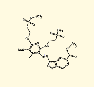 Cc1c(C#N)c(NCCS(=O)(=O)ON)nc(NCCS(=O)(=O)O)c1/N=N/c1snc2ccc(C(=O)ON)cc12